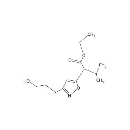 CCOC(=O)C(c1cc(CCCO)no1)C(C)C